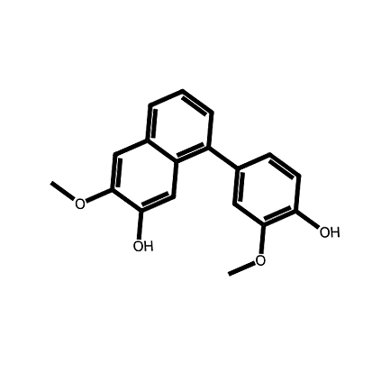 COc1cc(-c2cccc3cc(OC)c(O)cc23)ccc1O